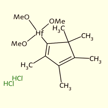 C[O][Hf]([O]C)([O]C)[C]1=C(C)C(C)=C(C)C1(C)C.Cl.Cl